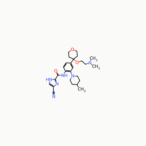 CC1CCN(c2cc(C3(OCCN(C)C)CCOCC3)ccc2NC(=O)c2nc(C#N)c[nH]2)CC1